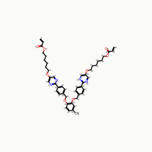 C=CC(=O)OCCCCCCOc1cnc(-c2ccc(COc3ccc(C#N)cc3OCc3ccc(-c4ncc(OCCCCCCOC(=O)C=C)cn4)cc3)cc2)nc1